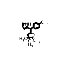 C=C1O/C(=C(\c2ccc(C)cc2)c2ccc[nH]2)CC1(C)C